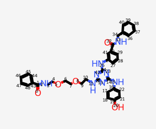 O=C(NCCOCCOCCNc1nc(Nc2ccc(O)cc2)nc(Nc2cccc(C(=O)NCc3ccccc3)c2)n1)c1ccccc1